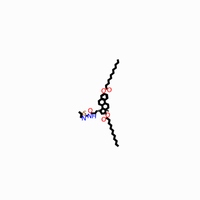 CCCCCCCCCCCC(=O)Oc1ccc2c(c1)CCC1C2CC[C@@]2(C)C1[C@H](CCC(=O)Nc1ncc(C)s1)C[C@@H]2OC(=O)CCCCCCCCCCC